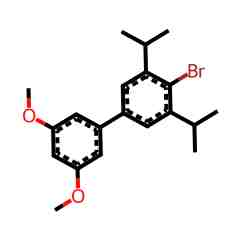 COc1cc(OC)cc(-c2cc(C(C)C)c(Br)c(C(C)C)c2)c1